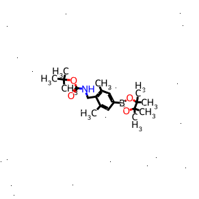 Cc1cc(B2OC(C)(C)C(C)(C)O2)cc(C)c1CNC(=O)OC(C)(C)C